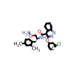 Cc1ccc(C[C@H](CON)NC(=O)c2c(Oc3cccc(Cl)c3)nnc3ccccc23)c(C)c1